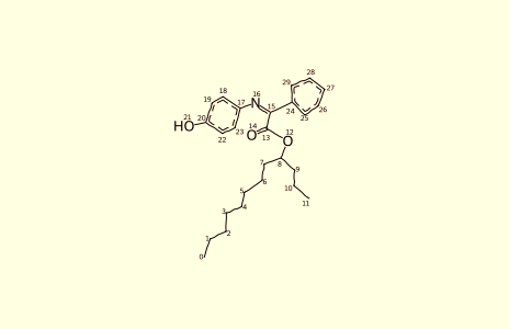 CCCCCCCCC(CCC)OC(=O)C(=Nc1ccc(O)cc1)c1ccccc1